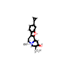 CC(C)(C)[C@@H]1Cc2c(oc3cc(C4CC4)ccc23)-c2cc(=O)c(C(=O)O)cn21